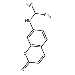 CC(C)Nc1ccc2ccc(=O)oc2c1